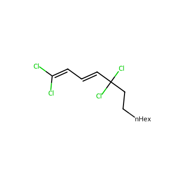 CCCCCCCCC(Cl)(Cl)C=CC=C(Cl)Cl